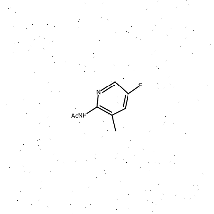 CC(=O)Nc1ncc(F)cc1C